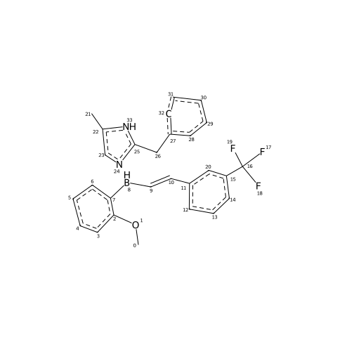 COc1ccccc1BC=Cc1cccc(C(F)(F)F)c1.Cc1cnc(Cc2ccccc2)[nH]1